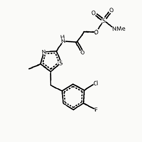 CNS(=O)(=O)OCC(=O)Nc1nc(C)c(Cc2ccc(F)c(Cl)c2)s1